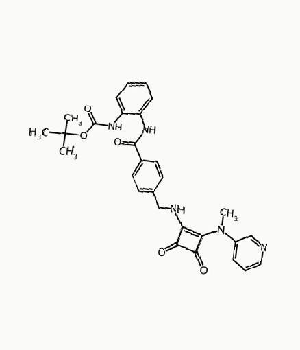 CN(c1cccnc1)c1c(NCc2ccc(C(=O)Nc3ccccc3NC(=O)OC(C)(C)C)cc2)c(=O)c1=O